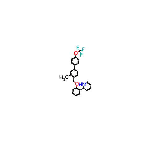 Cc1cc(-c2ccc(OC(F)(F)F)cc2)ccc1COc1ccccc1C1C=CC=[C]N1